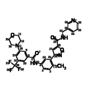 Cc1ccc(NC(=O)c2cc(N3CCOCC3)cc(C(F)(F)F)c2)cc1-c1cc(C(=O)NCc2cccnc2)on1